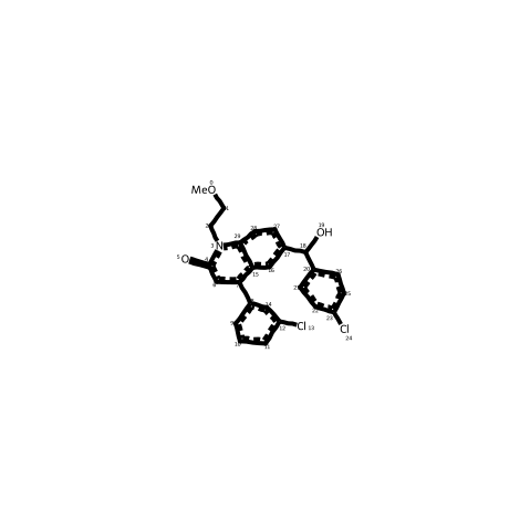 COCCn1c(=O)cc(-c2cccc(Cl)c2)c2cc(C(O)c3ccc(Cl)cc3)ccc21